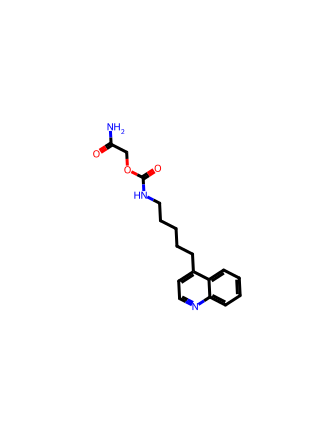 NC(=O)COC(=O)NCCCCCc1ccnc2ccccc12